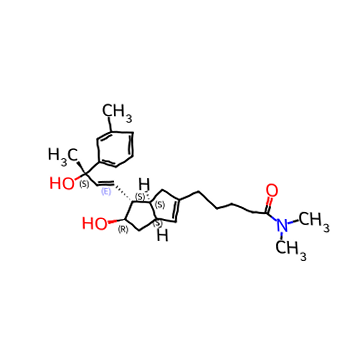 Cc1cccc([C@@](C)(O)/C=C/[C@@H]2[C@H]3CC(CCCCC(=O)N(C)C)=C[C@H]3C[C@H]2O)c1